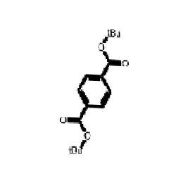 CC(C)(C)OC(=O)c1ccc(C(=O)OC(C)(C)C)cc1